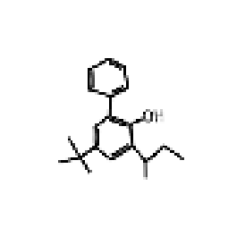 CCC(C)c1cc(C(C)(C)C)cc(-c2ccccc2)c1O